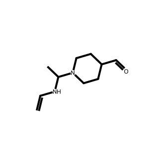 C=CNC(C)N1CCC(C=O)CC1